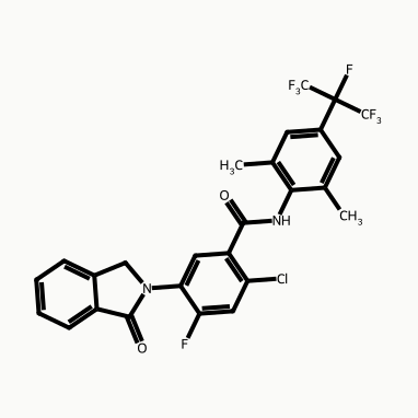 Cc1cc(C(F)(C(F)(F)F)C(F)(F)F)cc(C)c1NC(=O)c1cc(N2Cc3ccccc3C2=O)c(F)cc1Cl